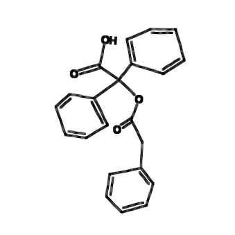 O=C(Cc1ccccc1)OC(C(=O)O)(c1ccccc1)c1ccccc1